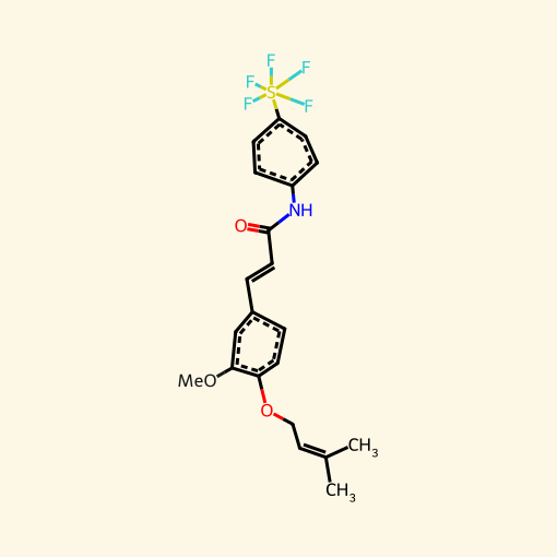 COc1cc(/C=C/C(=O)Nc2ccc(S(F)(F)(F)(F)F)cc2)ccc1OCC=C(C)C